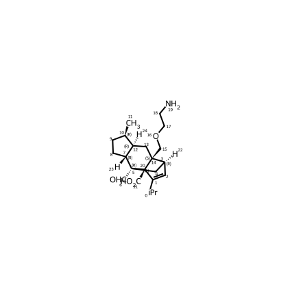 CC(C)C1=C[C@H]2C[C@@]3(C=O)[C@@H]4CC[C@@H](C)[C@H]4C[C@@]2(COCCN)[C@]13C(=O)O